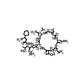 CC(C)C[C@@H]1NC(=O)[C@@H](CC(C)C)NC(=O)[C@H](CCN)NC(=O)[C@@H](NC(=O)[C@H](CCN)NC(=O)[C@@H](NC(=O)CC(N)C2CCCCC2)C(C)O)CCNC(=O)C(C(C)O)NC(=O)[C@H](CCN)NC(=O)[C@H](CCN)NC1=O